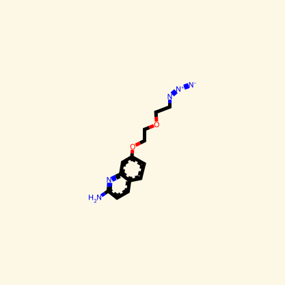 [N-]=[N+]=NCCOCCOc1ccc2ccc(N)nc2c1